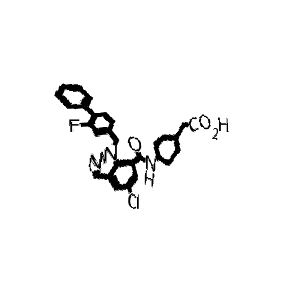 O=C(O)CC1CCC(NC(=O)c2cc(Cl)cc3cnn(Cc4ccc(-c5ccccc5)c(F)c4)c23)CC1